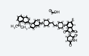 CN(C)c1cccc2cnc(-n3ccc4cc(N5CCC(CCN6CCN(c7cc(F)cc8c7C(=O)N(C7CCC(=O)NC7=O)C8=O)CC6)CC5)ncc43)cc12.O=CO